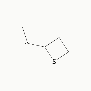 C[CH]C1CCS1